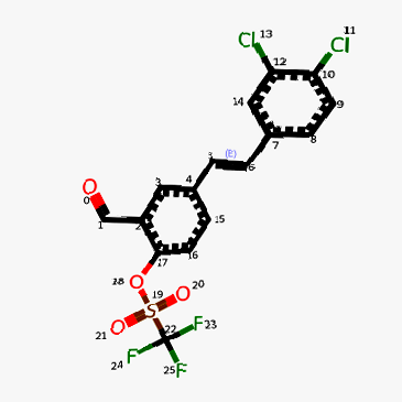 O=Cc1cc(/C=C/c2ccc(Cl)c(Cl)c2)ccc1OS(=O)(=O)C(F)(F)F